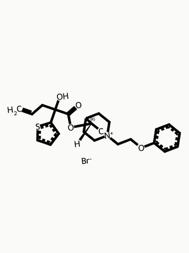 C=CCC(O)(C(=O)O[C@H]1C[N+]2(CCOc3ccccc3)CCC1CC2)c1cccs1.[Br-]